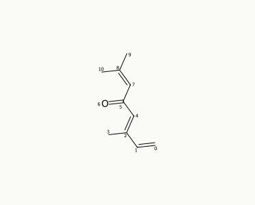 C=CC(C)=CC(=O)C=C(C)C